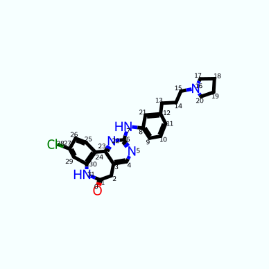 O=C1Cc2cnc(Nc3cccc(CCCN4CCCC4)c3)nc2-c2ccc(Cl)cc2N1